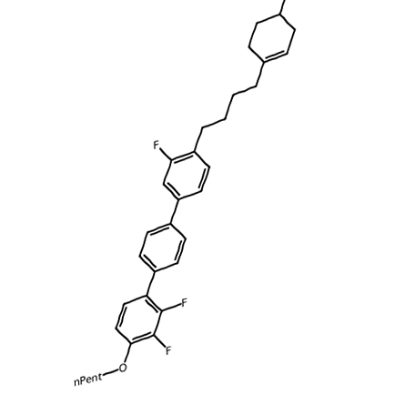 CCCCCOc1ccc(-c2ccc(-c3ccc(CCCCC4=CCC(CCCCC)CC4)c(F)c3)cc2)c(F)c1F